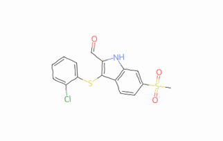 CS(=O)(=O)c1ccc2c(Sc3ccccc3Cl)c(C=O)[nH]c2c1